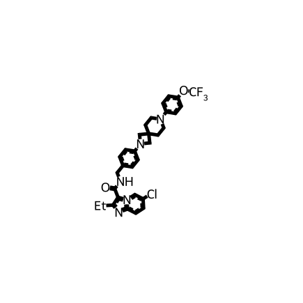 CCc1nc2ccc(Cl)cn2c1C(=O)NCc1ccc(N2CC3(CCN(c4ccc(OC(F)(F)F)cc4)CC3)C2)cc1